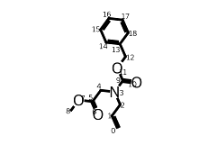 C=CCN(CC(=O)OC)C(=O)OCc1ccccc1